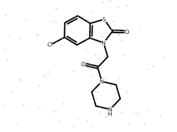 O=C(Cn1c(=O)sc2ccc(Cl)cc21)N1CCNCC1